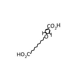 O=C(O)CCCCCCCCCCOc1c(I)cc(C(=O)O)cc1I